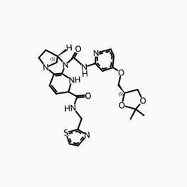 CC1(C)OC[C@H](COc2ccnc(NC(=O)N3C4=C(C=CC(C(=O)NCc5nccs5)N4)N4CC[C@H]3C4)c2)O1